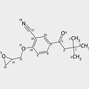 CC(C)(C)CC(=O)c1ccc(OCC2CO2)c(C#N)c1